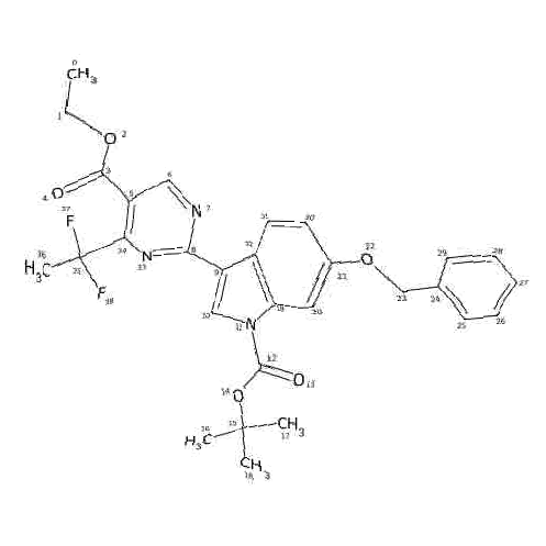 CCOC(=O)c1cnc(-c2cn(C(=O)OC(C)(C)C)c3cc(OCc4ccccc4)ccc23)nc1C(C)(F)F